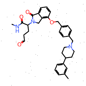 CNC(=O)C(CCC=O)N1Cc2c(OCc3ccc(CN4CCC(c5cccc(C)c5)CC4)cc3)cccc2C1=O